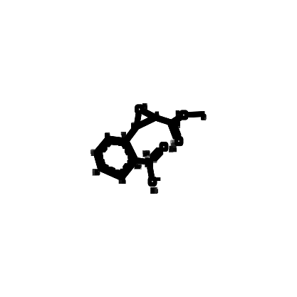 COC(=O)C1OC1c1ccccc1[N+](=O)[O-]